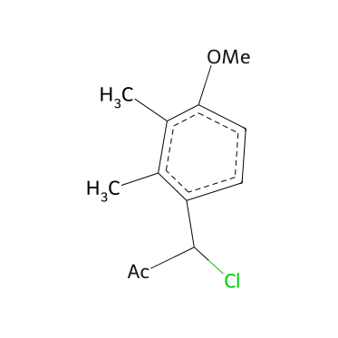 COc1ccc(C(Cl)C(C)=O)c(C)c1C